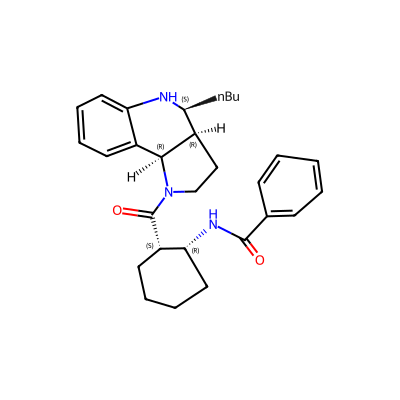 CCCC[C@@H]1Nc2ccccc2[C@H]2[C@@H]1CCN2C(=O)[C@H]1CCCC[C@H]1NC(=O)c1ccccc1